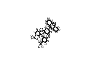 CC(C)(C)c1ccc2c(c1)B1c3cc(C(C)(C)C)ccc3Oc3cc(N4c5ccccc5Oc5ccccc54)cc(c31)O2